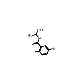 CCc1ccc(F)c(C(=O)NC(C(=O)O)C(C)CC)c1